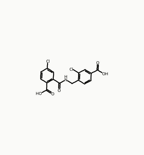 O=C(O)c1ccc(CNC(=O)c2cc(Cl)ccc2C(=O)O)c(Cl)c1